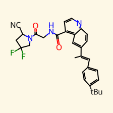 CC(=Cc1ccc(C(C)(C)C)cc1)c1ccc2nccc(C(=O)NCC(=O)N3CC(F)(F)CC3C#N)c2c1